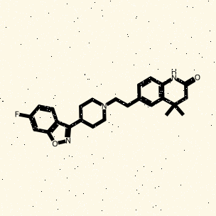 CC1(C)CC(=O)Nc2ccc(CCN3CCC(c4noc5cc(F)ccc45)CC3)cc21